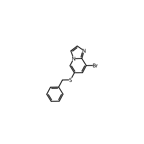 Brc1cc(SCc2ccccc2)cn2ccnc12